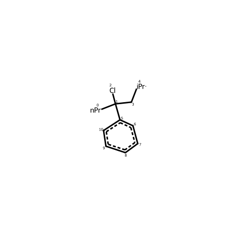 CCCC(Cl)(C[C](C)C)c1ccccc1